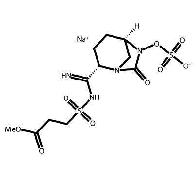 COC(=O)CCS(=O)(=O)NC(=N)[C@@H]1CC[C@@H]2CN1C(=O)N2OS(=O)(=O)[O-].[Na+]